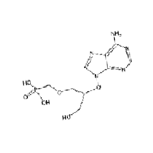 Nc1ncnc2c1ncn2OC(CO)COCP(=O)(O)O